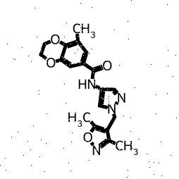 Cc1cc(C(=O)Nc2cnn(Cc3c(C)noc3C)c2)cc2c1OCCO2